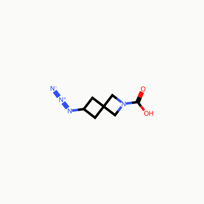 [N-]=[N+]=NC1CC2(C1)CN(C(=O)O)C2